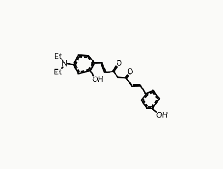 CCN(CC)c1ccc(C=CC(=O)CC(=O)C=Cc2ccc(O)cc2)c(O)c1